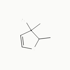 CC(=O)C1(C)C=CSC1C